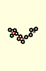 c1ccc(-c2ccccc2N(c2ccc(-c3cccc(-c4ccccc4-n4c5ccccc5c5ccccc54)c3)cc2)c2ccc(-c3cccc(-c4cccc5c4oc4ccccc45)c3)cc2)cc1